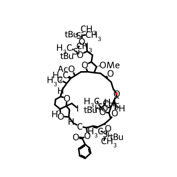 C=C1C(C)C[C@H]2CC[C@@H]3O[C@@H](CCC(OC(=O)c4ccccc4)/C=C/C(O[Si](C)(C)C(C)(C)C)C4O[C@H]5CCC(CC(=O)CC6C(CC1OC(C)=O)OC(CC(CO[Si](C)(C)C(C)(C)C)O[Si](C)(C)C(C)(C)C)[C@@H]6OC)OC5[C@H](O)C4O[Si](C)(C)C(C)(C)C)CC3(CI)O2